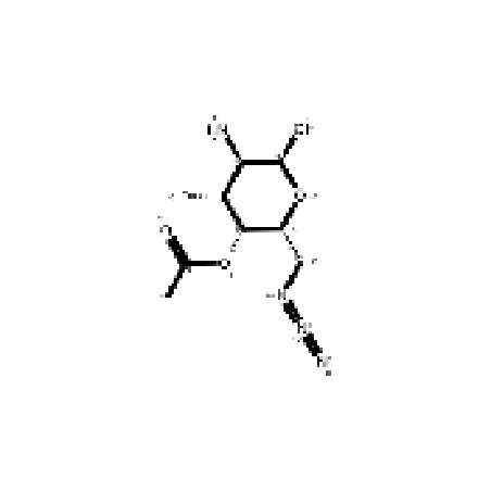 CC(=O)O[C@@H]1[C@H](F)[C@@H](N)[C@@H](O)O[C@@H]1CN=[N+]=[N-]